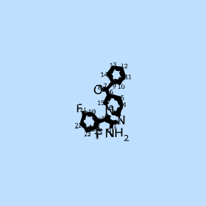 Nc1nc2ccc(C(=O)c3ccccc3)cn2c1-c1cc(F)ccc1F